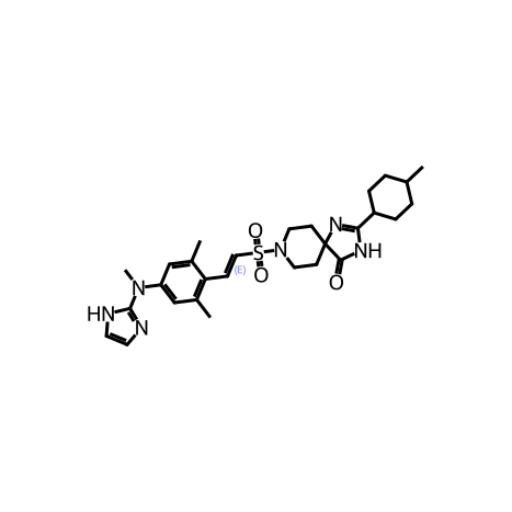 Cc1cc(N(C)c2ncc[nH]2)cc(C)c1/C=C/S(=O)(=O)N1CCC2(CC1)N=C(C1CCC(C)CC1)NC2=O